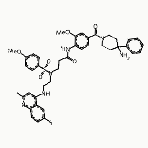 COc1ccc(S(=O)(=O)N(CCNc2cc(C)nc3ccc(I)cc23)CCC(=O)Nc2ccc(C(=O)N3CCC(N)(c4ccccc4)CC3)cc2OC)cc1